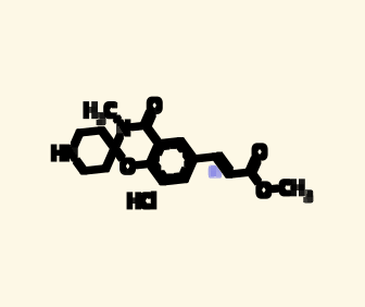 COC(=O)/C=C/c1ccc2c(c1)C(=O)N(C)C1(CCNCC1)O2.Cl